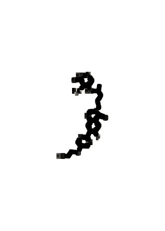 CC(CCCn1cnc2cc(-c3ncc(OCCO)cn3)c(F)cc2c1=O)Nc1cn[nH]c(=O)c1C(F)(F)F